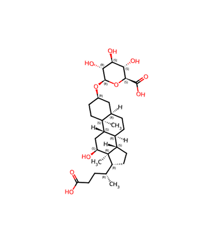 C[C@H](CCC(=O)O)[C@H]1CC[C@H]2[C@@H]3CC[C@@H]4C[C@H](O[C@@H]5O[C@H](C(=O)O)[C@@H](O)[C@H](O)[C@H]5O)CC[C@]4(C)[C@H]3C[C@H](O)[C@]12C